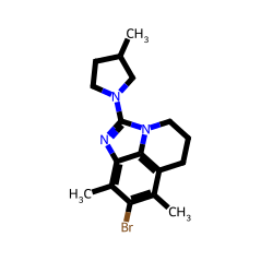 Cc1c(Br)c(C)c2nc(N3CCC(C)C3)n3c2c1CCC3